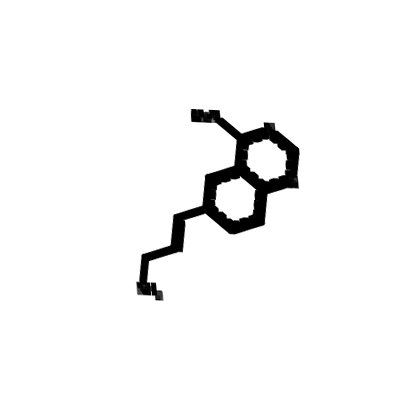 CNc1ncnc2ccc(/C=C/CN)cc12